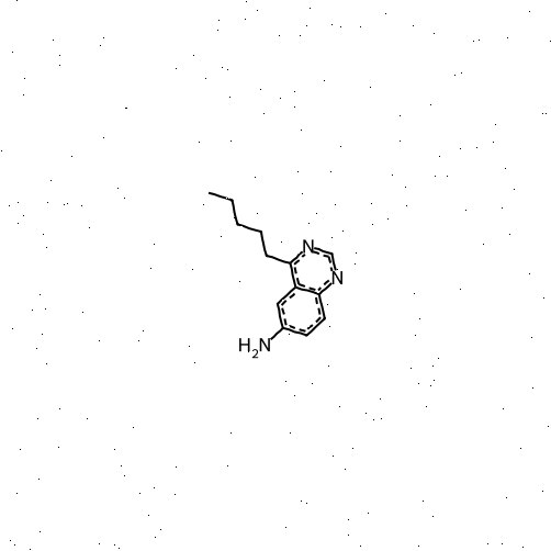 CCCCCc1ncnc2ccc(N)cc12